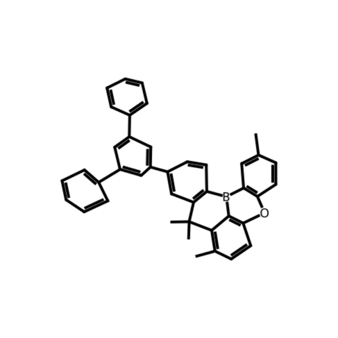 Cc1ccc2c(c1)B1c3ccc(-c4cc(-c5ccccc5)cc(-c5ccccc5)c4)cc3C(C)(C)c3c(C)ccc(c31)O2